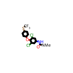 CNC(=O)Nc1cc(Cl)c(Oc2ccc(SC(F)(F)F)cc2)c(Cl)c1